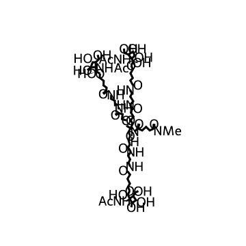 CNC(=O)CCCC(=O)NC(COCCC(=O)NCCCNC(=O)CCCCO[C@H](O)[C@@]1(NC(C)=O)C(O)[C@@H](O)C1CO)(COCCC(=O)NCCCNC(=O)CCCCO[C@H](O)[C@@]1(NC(C)=O)C(O)[C@@H](O)C1CO)COCCC(=O)NCCCNC(=O)CCCCO[C@H](O)[C@@]1(NC(C)=O)C(O)[C@@H](O)C1CO